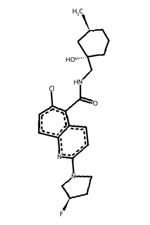 C[C@H]1CCC[C@@](O)(CNC(=O)c2c(Cl)ccc3nc(N4CC[C@@H](F)C4)ccc23)C1